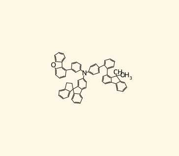 CC1(C)c2ccccc2-c2cccc(-c3ccccc3-c3ccc(N(c4cccc(-c5cccc6oc7ccccc7c56)c4)c4ccc5c(c4)C4(CCc6ccccc64)c4ccccc4-5)cc3)c21